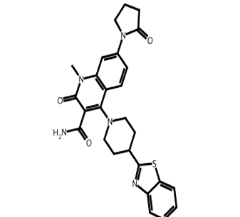 Cn1c(=O)c(C(N)=O)c(N2CCC(c3nc4ccccc4s3)CC2)c2ccc(N3CCCC3=O)cc21